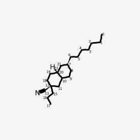 CCCCCCC[C@H]1CCC2C[C@](C#N)(CCC)CC[C@@H]2C1